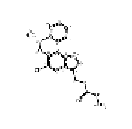 COC(=O)CCc1noc2cc(O[C@H](C)c3ccccn3)c(Cl)cc12